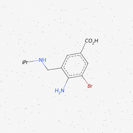 CC(C)NCc1cc(C(=O)O)cc(Br)c1N